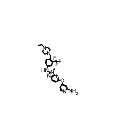 CCN1CCN(Cc2ccc(Nc3nc4ccc(Oc5ccnc(N)c5)nc4n3C)cc2C(F)(F)F)CC1